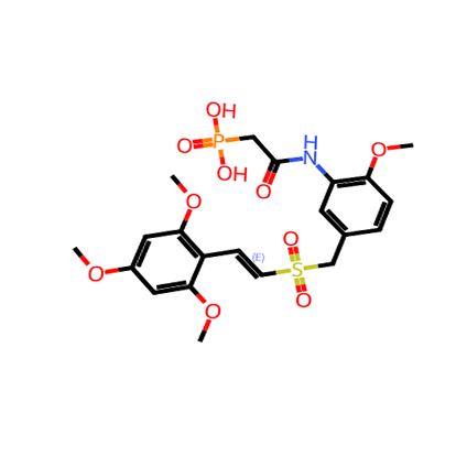 COc1cc(OC)c(/C=C/S(=O)(=O)Cc2ccc(OC)c(NC(=O)CP(=O)(O)O)c2)c(OC)c1